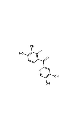 Cc1c(C(=O)c2ccc(O)c(O)c2)ccc(O)c1O